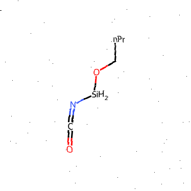 CCCCO[SiH2]N=C=O